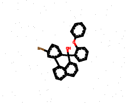 OC1(c2ccccc2Oc2ccccc2)c2ccc(Br)cc2-c2cccc3cccc1c23